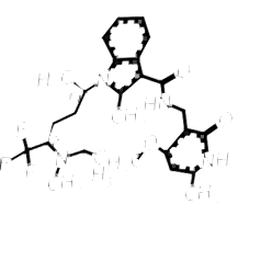 CCN(C)[C@H](CC[C@@H](C)n1c(C)c(C(=O)NCc2c(OC)cc(C)[nH]c2=O)c2ccccc21)C(F)(F)F